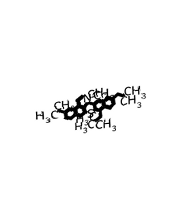 Cc1c2c(c(CC(C)(C)C)c3ccc(CC(C)C)cc13)Sc1cc3ccc(C(C)C)cc3c3cc[n+](C)c-2c13